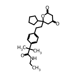 CCNC(=O)C(C)(C)c1ccc(CCC2(C3CCCC3)CC(=O)CC(=O)O2)cc1